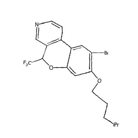 CC(C)CCCOc1cc2c(cc1Br)-c1ccncc1C(C(F)(F)F)O2